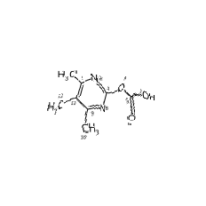 Cc1nc(OC(=O)O)nc(C)c1C